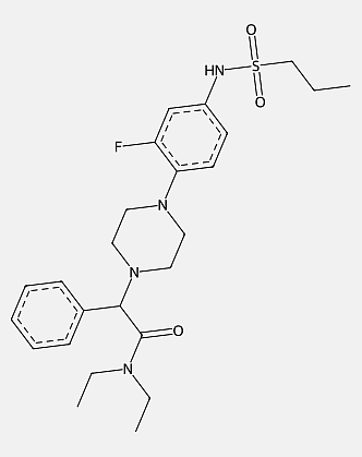 CCCS(=O)(=O)Nc1ccc(N2CCN(C(C(=O)N(CC)CC)c3ccccc3)CC2)c(F)c1